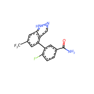 NC(=O)c1ccc(F)c(-c2cc(C(F)(F)F)cc3[nH]ncc23)c1